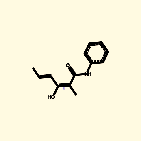 CC=C/C(O)=C(/C)C(=O)Nc1ccccc1